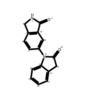 O=C1NCc2ccc(N3C(=O)Cc4ccccc43)cc21